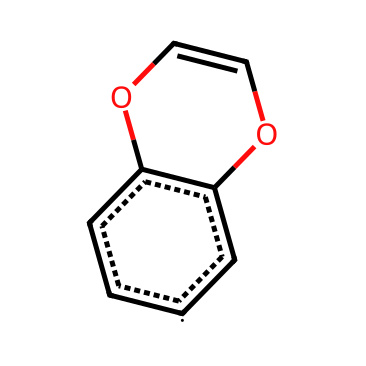 [c]1ccc2c(c1)OC=CO2